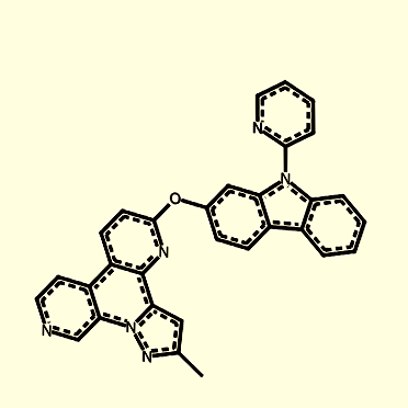 Cc1cc2c3nc(Oc4ccc5c6ccccc6n(-c6ccccn6)c5c4)ccc3c3ccncc3n2n1